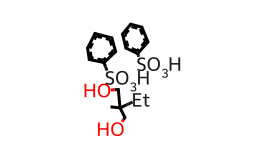 CCC(C)(CO)CO.O=S(=O)(O)c1ccccc1.O=S(=O)(O)c1ccccc1